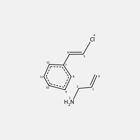 C=CCN.ClC=Cc1ccccc1